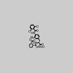 COC(=O)[C@H](Cc1ccc(NC(=O)c2c(Cl)cccc2Cl)cc1)NC(=O)[C@H]1CSCN1C(=O)OC(C)(C)C